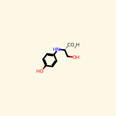 O=C(O)[C@H](CO)Nc1ccc(O)cc1